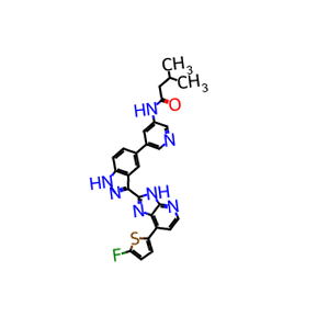 CC(C)CC(=O)Nc1cncc(-c2ccc3[nH]nc(-c4nc5c(-c6ccc(F)s6)ccnc5[nH]4)c3c2)c1